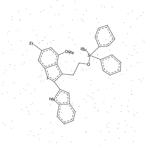 CCc1cc(OC)c2c(CCO[Si](c3ccccc3)(c3ccccc3)C(C)(C)C)c(-c3cc4ccccc4[nH]3)sc2c1